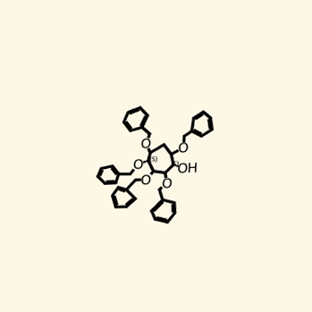 O[C@H]1C(OCc2ccccc2)CC(OCc2ccccc2)[C@H](OCc2ccccc2)C(OCc2ccccc2)C1OCc1ccccc1